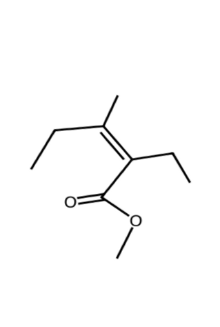 CCC(C)=C(CC)C(=O)OC